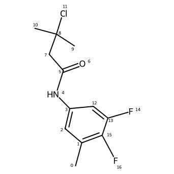 Cc1cc(NC(=O)CC(C)(C)Cl)cc(F)c1F